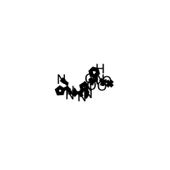 CC(C)(C)OC(=O)N[C@](C)(C(=O)On1ccc2c(-c3cnn([C@H](CC#N)C4CCCC4)c3)ncnc21)c1ccccc1